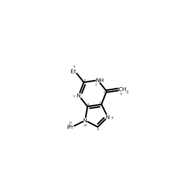 C=C1NC(CC)=Nc2c1ncn2C(C)C